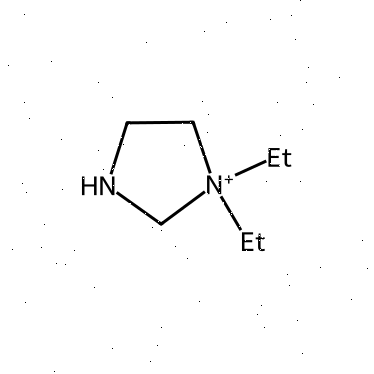 CC[N+]1(CC)CCNC1